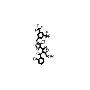 O=C(c1ccccc1Cl)c1c(-c2nnn(Cc3cc(C(F)(F)F)cc(C(F)(F)F)c3)c2Cl)noc1CO